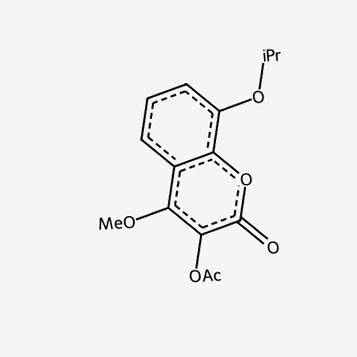 COc1c(OC(C)=O)c(=O)oc2c(OC(C)C)cccc12